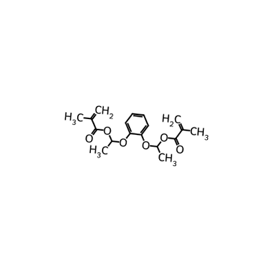 C=C(C)C(=O)OC(C)Oc1ccccc1OC(C)OC(=O)C(=C)C